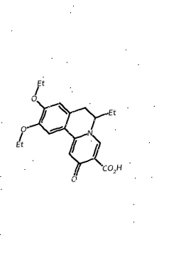 CCOc1cc2c(cc1OCC)-c1cc(=O)c(C(=O)O)cn1C(CC)C2